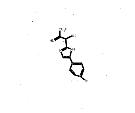 CCC(C(=N)C(=O)O)c1ncc(-c2ccc(Br)cc2)[nH]1